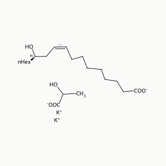 CC(O)C(=O)[O-].CCCCCC[C@@H](O)C/C=C\CCCCCCCC(=O)[O-].[K+].[K+]